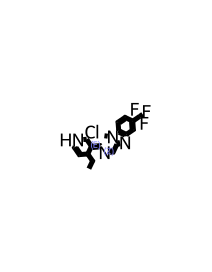 CCC1C=CNC(Cl)/C1=C/N=C\c1nc2cc(C(F)(F)F)ccc2n1C